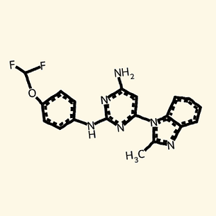 Cc1nc2ccccc2n1-c1cc(N)nc(Nc2ccc(OC(F)F)cc2)n1